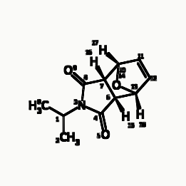 CC(C)N1C(=O)[C@@H]2[C@H](C1=O)[C@@H]1C=C[C@H]2O1